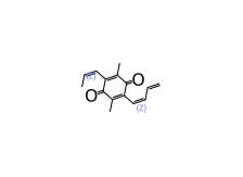 C=C/C=C\C1=C(C)C(=O)C(/C=C\C)=C(C)C1=O